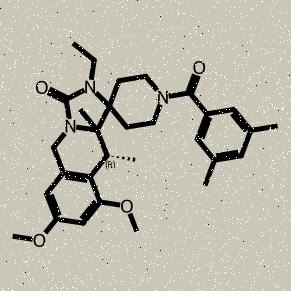 CCN1C(=O)N2Cc3cc(OC)cc(OC)c3[C@@H](C)C2(C)C12CCN(C(=O)c1cc(C)cc(C)c1)CC2